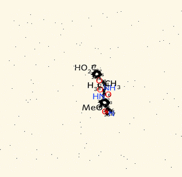 COc1cc(NC(=O)C(=O)NC(C)(C)COc2ccc(C(=O)O)cc2)ccc1-c1cnco1